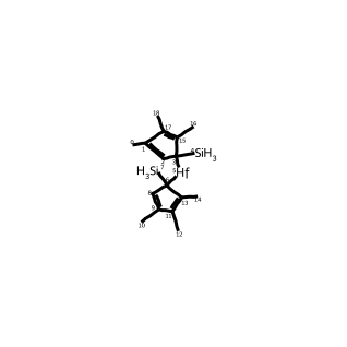 CC1=C[C]([SiH3])([Hf][C]2([SiH3])C=C(C)C(C)=C2C)C(C)=C1C